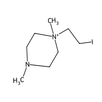 CN1CC[N+](C)(CCI)CC1